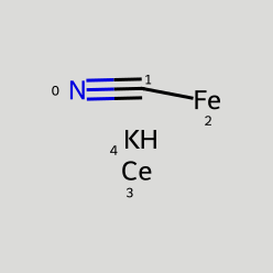 N#[C][Fe].[Ce].[KH]